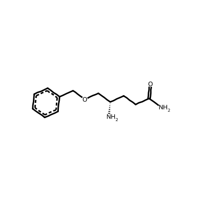 NC(=O)CC[C@H](N)COCc1ccccc1